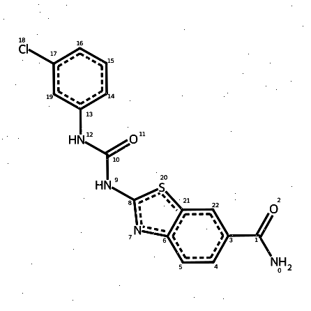 NC(=O)c1ccc2nc(NC(=O)Nc3cccc(Cl)c3)sc2c1